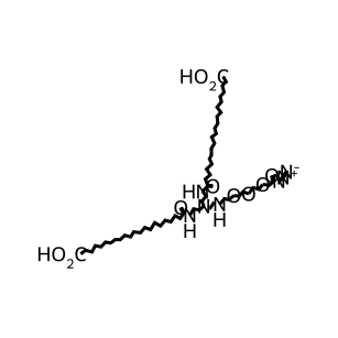 [N-]=[N+]=NC(=O)COCCOCCOCCNCCN(CCNC(=O)CCCCCCCCCCCCCCCCCCCCC(=O)O)CCNC(=O)CCCCCCCCCCCCCCCCCCCCC(=O)O